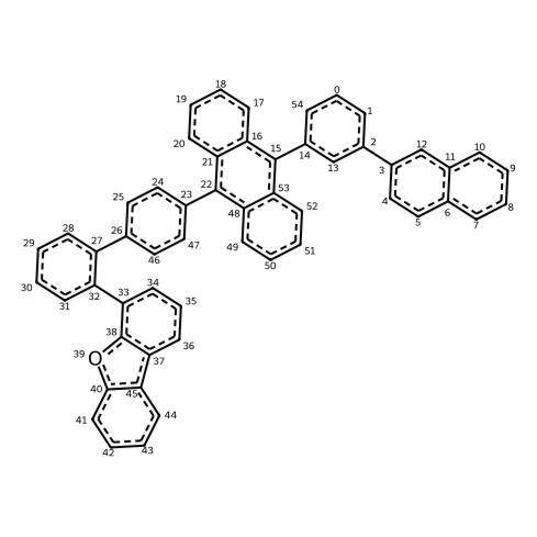 c1cc(-c2ccc3ccccc3c2)cc(-c2c3ccccc3c(-c3ccc(-c4ccccc4-c4cccc5c4oc4ccccc45)cc3)c3ccccc23)c1